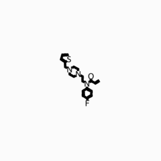 C=CC(=O)N(CCN1CCN(Cc2cccs2)CC1)c1ccc(F)cc1